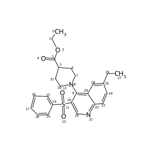 CCOC(=O)C1CCN(c2c(S(=O)(=O)c3ccccc3)cnc3ccc(CC)cc23)CC1